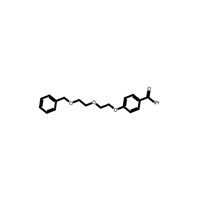 CC(C)C(=O)c1ccc(OCCOCCOCc2ccccc2)cc1